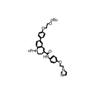 CCCCOCCOc1ccc(-c2ccc3c(c2)C=C(C(=O)Nc2ccc(OCCn4ccnc4)cc2)CCN3CCC)cc1